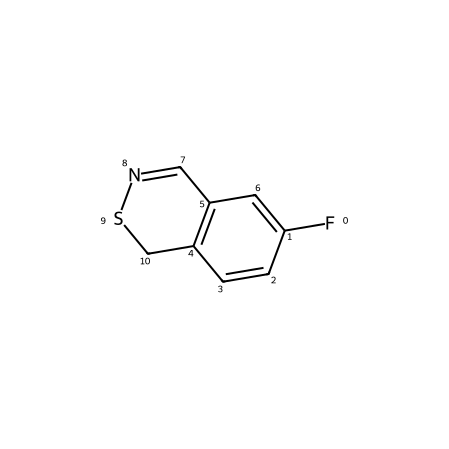 Fc1ccc2c(c1)C=NSC2